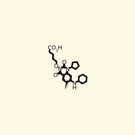 O=C(O)CCCCOn1c(=O)c2cc(F)c(NC3CCCCC3)cc2n(C2CCCC2)c1=O